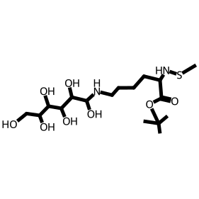 CSNC(CCCCNC(O)C(O)C(O)C(O)C(O)CO)C(=O)OC(C)(C)C